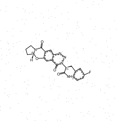 NC(=O)[C@H](Cc1cccc(F)c1)n1nnc2cc3c(cc2c1=O)O[C@@H]1CCCN1C3=O